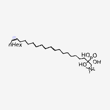 CCCCCC/C=C\CCCCCCCCCCCCCCCCC(O)(C[N+](C)(C)C)P(=O)(O)O